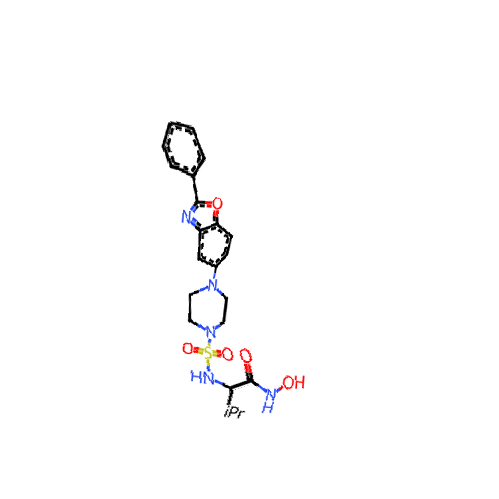 CC(C)C(NS(=O)(=O)N1CCN(c2ccc3oc(-c4ccccc4)nc3c2)CC1)C(=O)NO